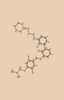 CCC(CC)NCc1cc(C)c(CCc2cccc(-c3cccc(CCCCN4CCCCC4)c3C)c2C)cc1C